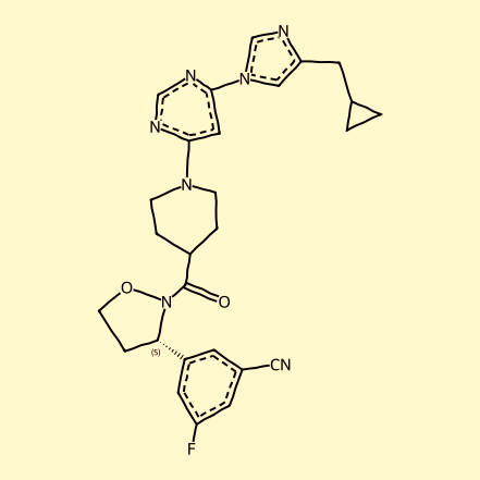 N#Cc1cc(F)cc([C@@H]2CCON2C(=O)C2CCN(c3cc(-n4cnc(CC5CC5)c4)ncn3)CC2)c1